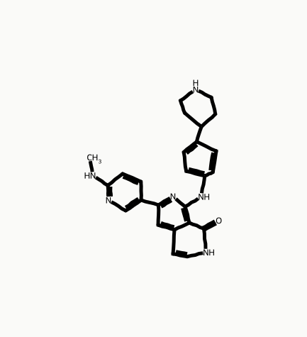 CNc1ccc(-c2cc3cc[nH]c(=O)c3c(Nc3ccc(C4CCNCC4)cc3)n2)cn1